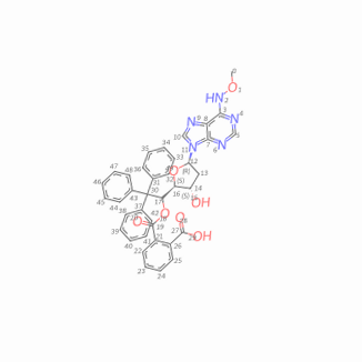 CONc1ncnc2c1ncn2[C@H]1C[C@H](O)[C@@H](C(OC(=O)c2ccccc2C(=O)O)C(c2ccccc2)(c2ccccc2)c2ccccc2)O1